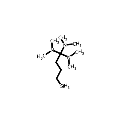 CN(C)C(CCC[SiH3])(N(C)C)N(C)C